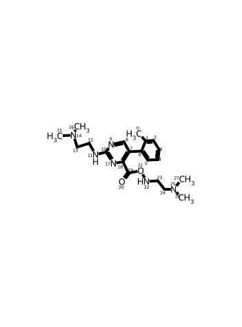 Cc1ccccc1-c1cnc(NCCN(C)C)nc1C(=O)ONCCN(C)C